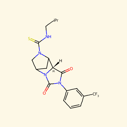 CC(C)CNC(=S)N1CC2CC1[C@@H]1C(=O)N(c3cccc(C(F)(F)F)c3)C(=O)N21